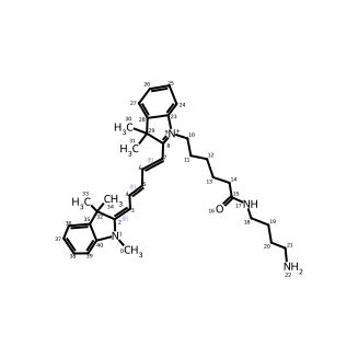 CN1/C(=C/C=C/C=C/C2=[N+](CCCCCC(=O)NCCCCN)c3ccccc3C2(C)C)C(C)(C)c2ccccc21